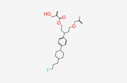 C=C(C)COCCC(CCOC(=O)C(=C)CO)c1ccc(C2CCC(CCCF)CC2)cc1